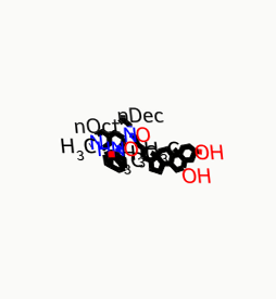 CCCCCCCCCCC(CCCCCCCC)CN(C(=O)CCC(C)C1CCC2C3CC(O)C4CC(O)CCC4(C)C3CCC12C)C(CC1CCN(C)CC1)C(=O)NC12CC3CC(CC(C3)C1)C2